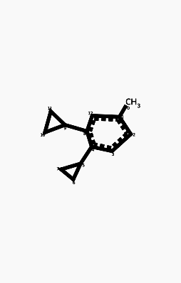 Cc1ccc(C2CC2)c(C2CC2)c1